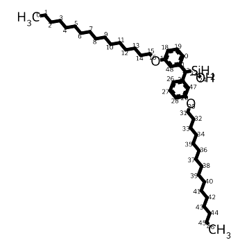 CCCCCCCCCCCCCCCCOc1cccc(C([SiH2]O)c2cccc(OCCCCCCCCCCCCCCCC)c2)c1